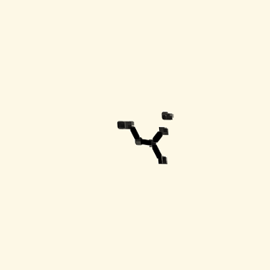 CCN(CC)OC=O.[Cu]